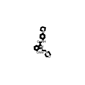 COc1cccc2c(C(=O)Nc3ccc(N4CCCCC4)cc3)nn(CCN3CCOCC3)c12